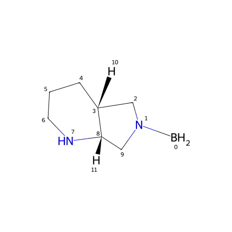 BN1C[C@H]2CCCN[C@H]2C1